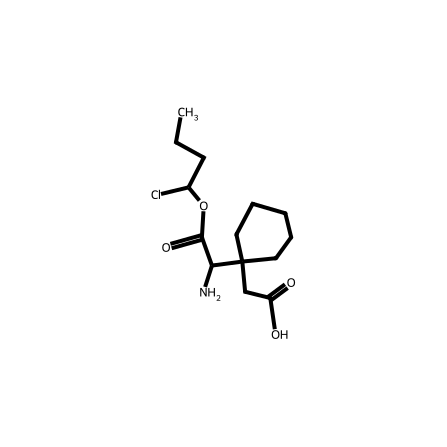 CCCC(Cl)OC(=O)C(N)C1(CC(=O)O)CCCCC1